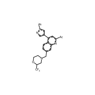 CC(=O)c1cc(-c2cnn(C(C)C)c2)c2ccc(CN3CCOC(C(F)(F)F)C3)cc2n1